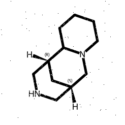 C1CCN2C[C@@H]3CNC[C@@H](C3)C2C1